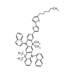 CCCCCCc1ccc(-c2ccc(-c3ccc4c(c3)C(C)(C)c3cc5c(cc3N4c3cccc4ccccc34)C(C)(C)c3ccccc3N5c3cccc4ccccc34)s2)s1